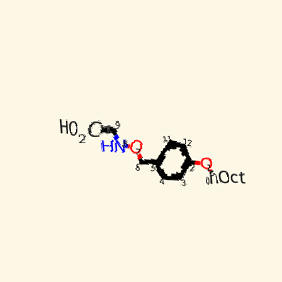 CCCCCCCCOc1ccc(CONCC(=O)O)cc1